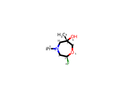 CC(C)N1C[C@H](F)OC[C@@](C)(O)C1